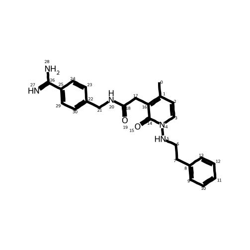 Cc1ccn(NCCc2ccccc2)c(=O)c1CC(=O)NCc1ccc(C(=N)N)cc1